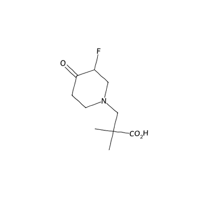 CC(C)(CN1CCC(=O)C(F)C1)C(=O)O